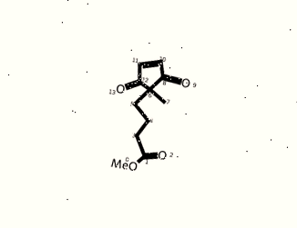 COC(=O)CCCC1(C)C(=O)C=CC1=O